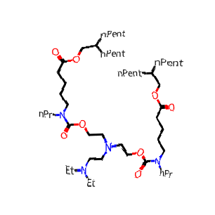 CCCCCC(CCCCC)COC(=O)CCCCN(CCC)C(=O)OCCN(CCOC(=O)N(CCC)CCCCC(=O)OCC(CCCCC)CCCCC)CCN(CC)CC